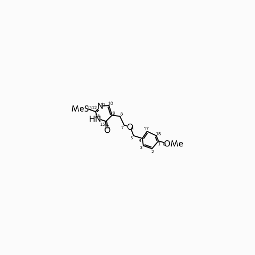 COc1ccc(COCCc2cnc(SC)[nH]c2=O)cc1